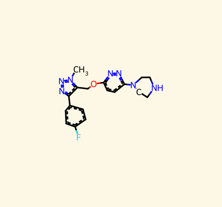 Cn1nnc(-c2ccc(F)cc2)c1COc1ccc(N2CCNCC2)nn1